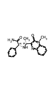 C[C@@H](N[C@@H](C(N)=O)c1ccccc1)c1nc2ccccc2n(C)c1=O